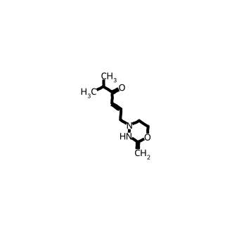 C=C1NN(C/C=C/C(=O)C(C)C)CCO1